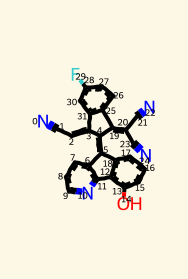 N#C/C=C1/C(=C2\c3cccnc3-c3c(O)cccc32)C(=C(C#N)C#N)c2ccc(F)cc21